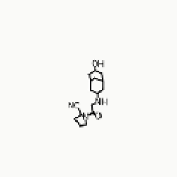 N#CC1CCCN1C(=O)CNC1CC2CC(O)CC(C2)C1